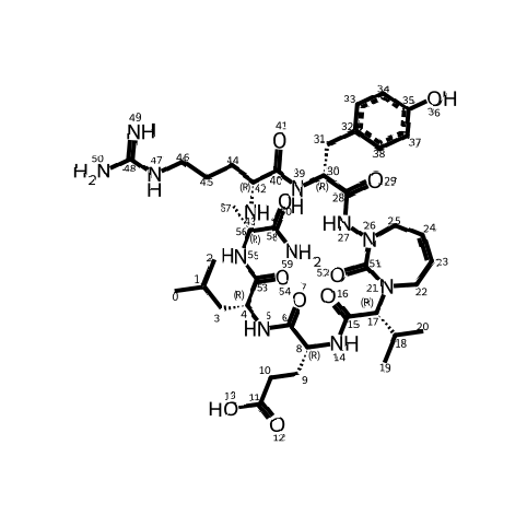 CC(C)C[C@@H](NC(=O)[C@@H](CCC(=O)O)NC(=O)[C@@H](C(C)C)N1CC=CCN(NC(=O)[C@@H](Cc2ccc(O)cc2)NC(=O)[C@H](N)CCCNC(=N)N)C1=O)C(=O)N[C@H](C)C(N)=O